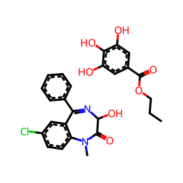 CCCOC(=O)c1cc(O)c(O)c(O)c1.CN1C(=O)C(O)N=C(c2ccccc2)c2cc(Cl)ccc21